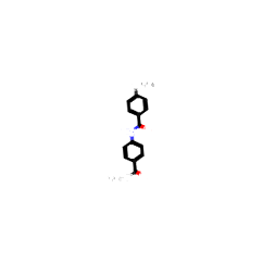 COC(=O)c1ccc(NC(=O)c2ccc(OC)cc2)cc1